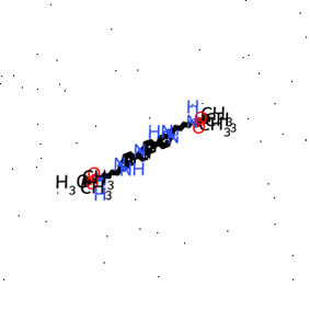 CC(C)(C)OC(=O)NCCCCc1nc2ccc(-c3ccc4nc(-c5ccc6nc(CCCCNC(=O)OC(C)(C)C)[nH]c6c5)ccc4c3)cc2[nH]1